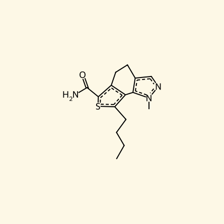 CCCCc1sc(C(N)=O)c2c1-c1c(cnn1C)CC2